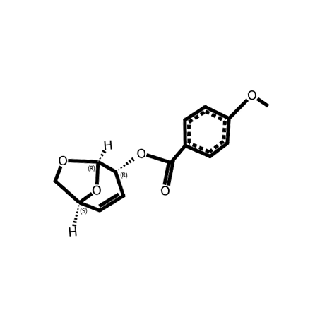 COc1ccc(C(=O)O[C@@H]2C=C[C@H]3CO[C@@H]2O3)cc1